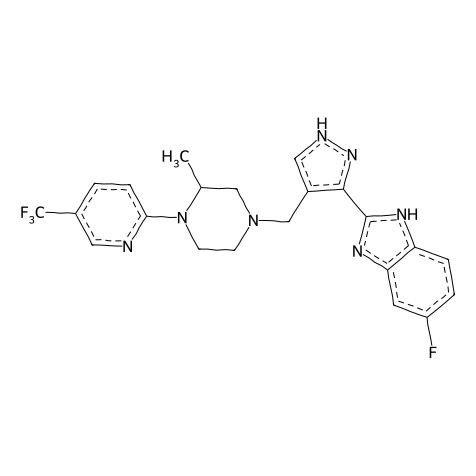 CC1CN(Cc2c[nH]nc2-c2nc3cc(F)ccc3[nH]2)CCN1c1ccc(C(F)(F)F)cn1